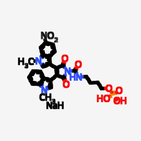 Cn1cc(C2=C(c3cn(C)c4cc([N+](=O)[O-])ccc34)C(=O)N(C(=O)NCCCCOP(=O)(O)O)C2=O)c2ccccc21.[NaH]